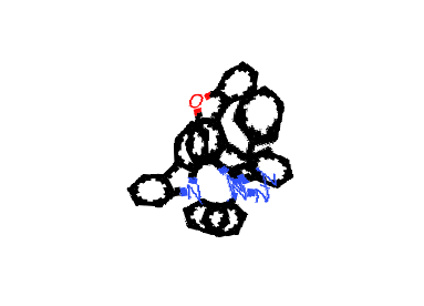 c1ccc(-c2nnn(-c3ccccc3)c2-c2cccc3c4ccccc4n(-c4ccccc4-n4c5ccccc5c5c6c(ccc54)oc4ccccc46)c23)cc1